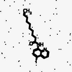 C=CCCCCCCCC(=O)Nc1ccc(I)c2cccnc12